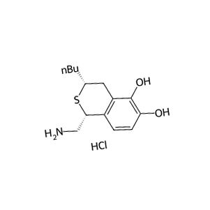 CCCC[C@@H]1Cc2c(ccc(O)c2O)[C@H](CN)S1.Cl